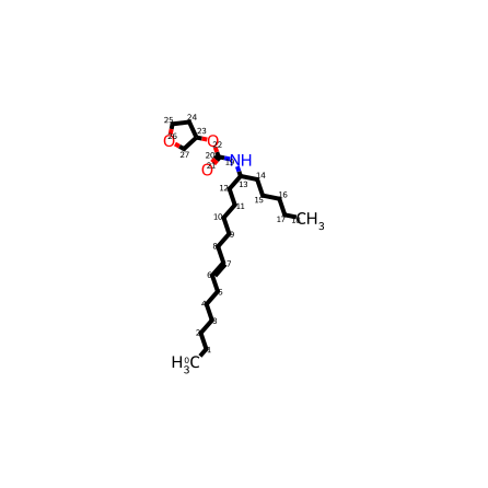 CCCCCCC=CCCCCCC(CCCCC)NC(=O)OC1CCOC1